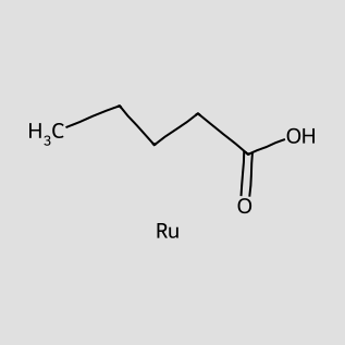 CCCCC(=O)O.[Ru]